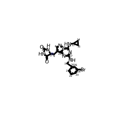 O=C1NC(=O)/C(=C/c2cnn3c(NC4CC4)nc(NCc4cccc(Br)c4)nc23)N1